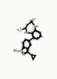 CC[C@@H](C)n1nc(C2CC2)c2cc(-c3cccc4c3NC(C)CC(=O)N4)ccc21